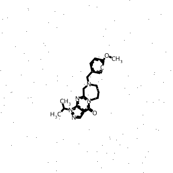 COc1ccc(CN2CCCn3c(nc4c(cnn4C(C)C)c3=O)C2)cc1